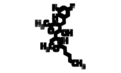 CCCCCC(=O)NC(CC)C[C@H](O)[C@H](Cc1cc(F)cc(F)c1)NC(C)=O